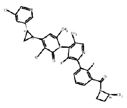 Cc1cnc(-c2cccc(C(=O)N3CC[C@@H]3C(F)(F)F)c2F)c(F)c1-n1c(C)cc([C@H]2C[C@@H]2c2cncc(Cl)c2)c(Cl)c1=O